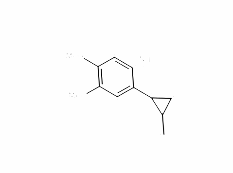 COc1ccc(C2CC2C)cc1OC.N